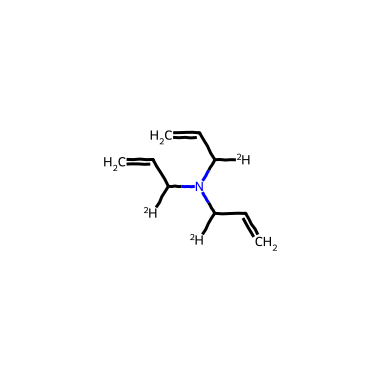 [2H]C(C=C)N(C([2H])C=C)C([2H])C=C